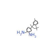 Cc1ccc2c(c1)C(C)(c1ccc(CN)c(N)c1)CC2(C)C